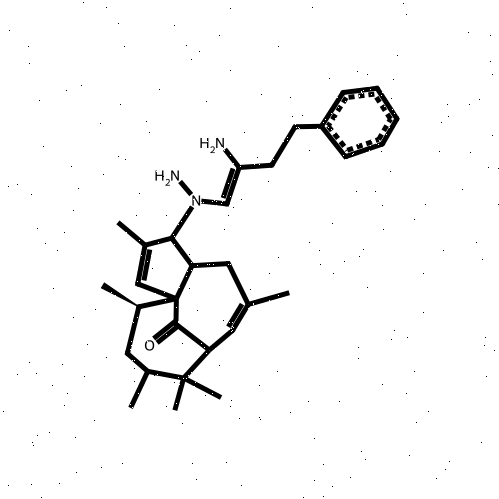 CC1=CC2C(=O)C3(C=C(C)C(N(N)/C=C(\N)CCc4ccccc4)C3C1)[C@H](C)CC(C)C2(C)C